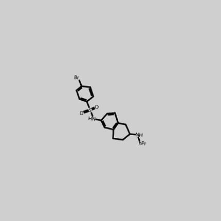 CCCNC1CCc2cc(NS(=O)(=O)c3ccc(Br)cc3)ccc2C1